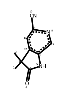 CC1(C)C(=O)Nc2cnc(C#N)cc21